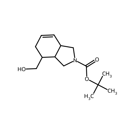 CC(C)(C)OC(=O)N1CC2C=CCC(CO)C2C1